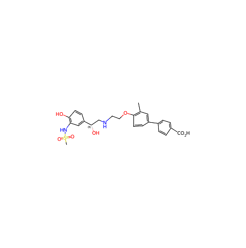 Cc1cc(-c2ccc(C(=O)O)cc2)ccc1OCCNC[C@H](O)c1ccc(O)c(NS(C)(=O)=O)c1